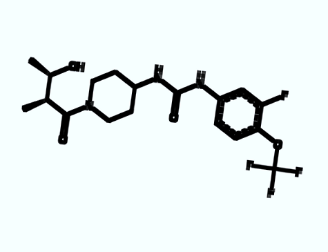 C[C@H](C(=O)N1CCC(NC(=O)Nc2ccc(OC(F)(F)F)c(F)c2)CC1)[C@@H](C)O